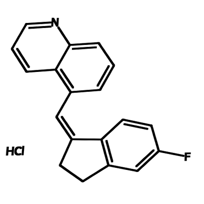 Cl.Fc1ccc2c(c1)CC/C2=C/c1cccc2ncccc12